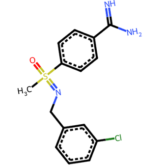 CS(=O)(=NCc1cccc(Cl)c1)c1ccc(C(=N)N)cc1